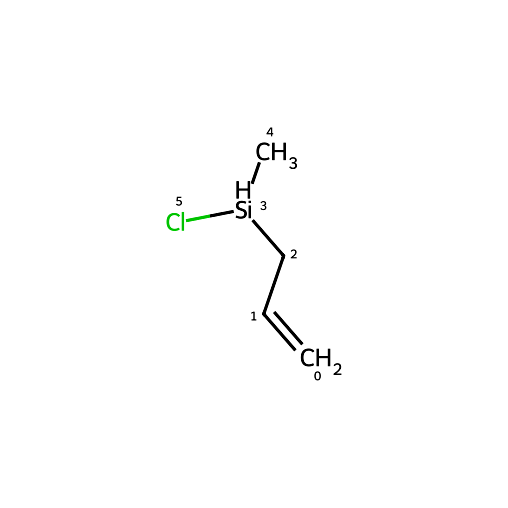 C=CC[SiH](C)Cl